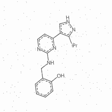 CC(C)c1n[nH]cc1-c1ccnc(NCc2ccccc2O)n1